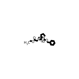 CCOC(=O)CN1C[C@@]2(CCCN2C(=O)OCc2ccccc2)C1=O